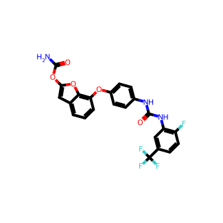 NC(=O)Oc1cc2cccc(Oc3ccc(NC(=O)Nc4cc(C(F)(F)F)ccc4F)cc3)c2o1